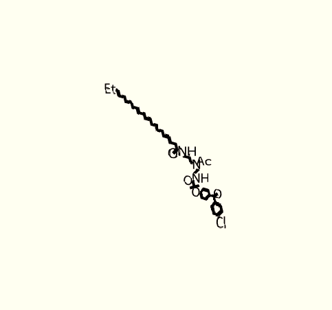 CCC=CCC=CCC=CCC=CCC=CCC=CCCC(=O)NCCCN(CCNC(=O)C(C)(C)Oc1ccc(C(=O)c2ccc(Cl)cc2)cc1)C(C)=O